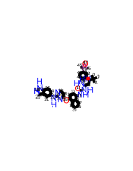 CC(C)(C)C(=N)/C=C(/NC(=O)Nc1ccc(Oc2ccnc(Nc3ccc4[nH]ncc4c3)n2)c2ccccc12)Nc1ccc(P(C)(C)=O)cc1